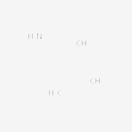 CC(C)=C(C)CN